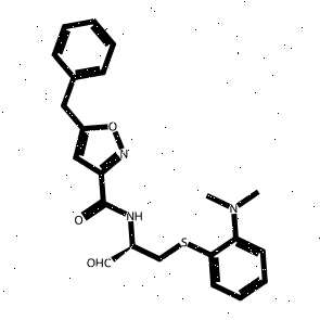 CN(C)c1ccccc1SC[C@@H](C=O)NC(=O)c1cc(Cc2ccccc2)on1